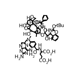 CC(=O)O[C@@]12CO[C@@H]1C[C@H](O)[C@@]1(C)C(=O)[C@H](O)C3=C(C)[C@@H](OC(=O)[C@H](O)[C@@H](NC(=O)OC(C)(C)C)c4ccccc4)C[C@@](O)([C@@H](OC(=O)c4ccccc4)[C@H]21)C3(C)C.CN(Cc1cnc2nc(N)nc(N)c2n1)c1ccc(C(=O)N[C@@H](CCC(=O)O)C(=O)O)cc1